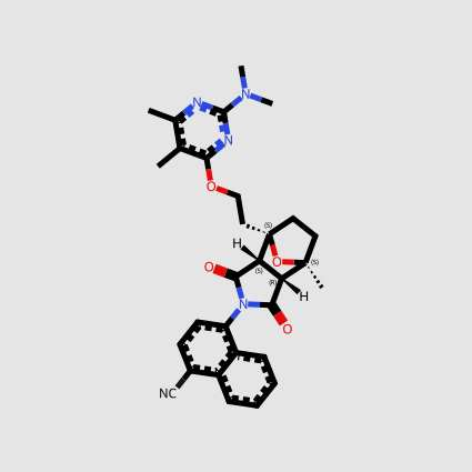 Cc1nc(N(C)C)nc(OCC[C@]23CC[C@](C)(O2)[C@@H]2C(=O)N(c4ccc(C#N)c5ccccc45)C(=O)[C@@H]23)c1C